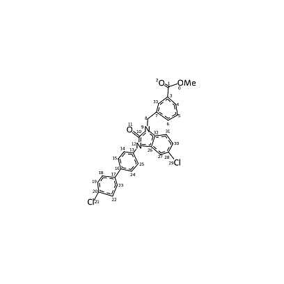 COC(=O)c1cccc(Cn2c(=O)n(-c3ccc(-c4ccc(Cl)cc4)cc3)c3cc(Cl)ccc32)c1